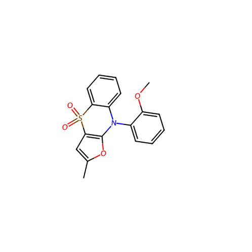 COc1ccccc1N1c2ccccc2S(=O)(=O)c2cc(C)oc21